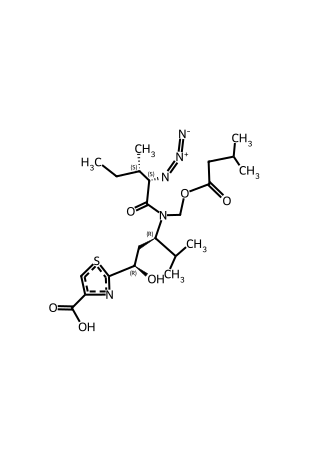 CC[C@H](C)[C@H](N=[N+]=[N-])C(=O)N(COC(=O)CC(C)C)[C@H](C[C@@H](O)c1nc(C(=O)O)cs1)C(C)C